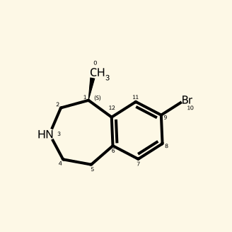 C[C@@H]1CNCCc2ccc(Br)cc21